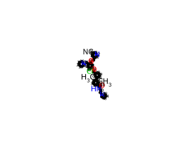 Cc1c(COc2cc(OCc3cncc(C#N)c3)c(CN3CCCCC3)cc2Cl)cccc1-c1cccc(C(=O)NCCN2CCCC2)c1C